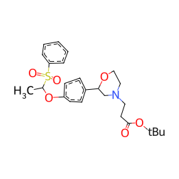 CC(Oc1ccc(C2CN(CCC(=O)OC(C)(C)C)CCO2)cc1)S(=O)(=O)c1ccccc1